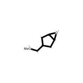 COCC1CC2OC2C1